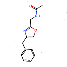 CC(=O)NCC1=NC(Cc2ccccc2)CO1